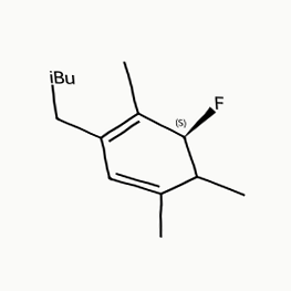 CCC(C)CC1=C(C)[C@@H](F)C(C)C(C)=C1